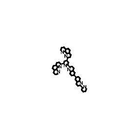 c1ccc(-c2ccc3cc(-c4ccc5nc(-c6cc(-c7ccc8ccc9cccnc9c8n7)cc(-c7ccc8ccc9cccnc9c8n7)n6)ccc5c4)ccc3n2)nc1